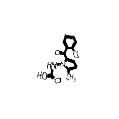 Cc1ccc(C(=O)c2ccccc2Cl)n1NC(=O)O